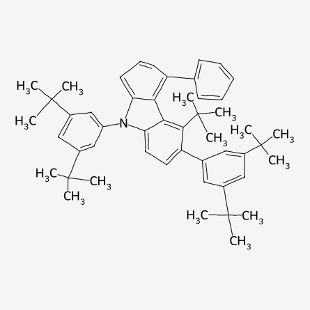 CC(C)(C)c1cc(-c2ccc3c(c2C(C)(C)C)c2c(-c4ccccc4)cccc2n3-c2cc(C(C)(C)C)cc(C(C)(C)C)c2)cc(C(C)(C)C)c1